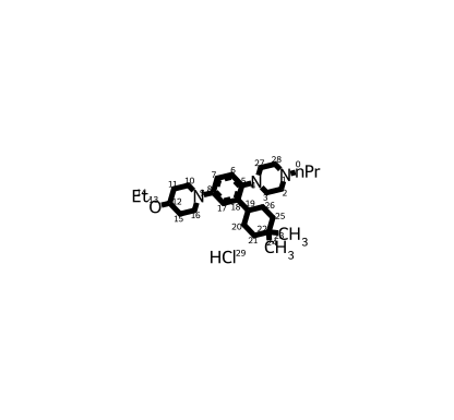 CCCN1CCN(c2ccc(N3CCC(OCC)CC3)cc2C2CCC(C)(C)CC2)CC1.Cl